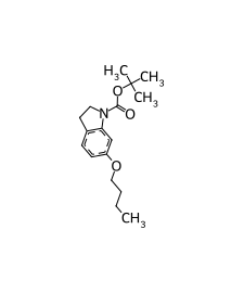 CCCCOc1ccc2c(c1)N(C(=O)OC(C)(C)C)CC2